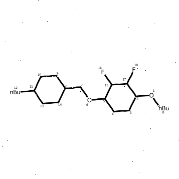 CCCCOC1CCC(OCC2CCC(CCCC)CC2)C(F)C1F